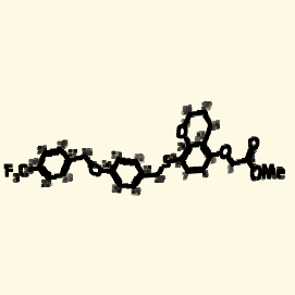 COC(=O)COc1ccc(SCc2ccc(OCc3ccc(C(F)(F)F)cc3)cc2)c2c1CCCO2